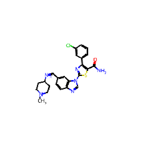 CN1CCC(/N=C\c2ccc3ncn(-c4nc(-c5cccc(Cl)c5)c(C(N)=O)s4)c3c2)CC1